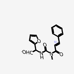 CN(C(=O)/C=C/c1ccccc1)C(=O)NC([C]=O)c1ccco1